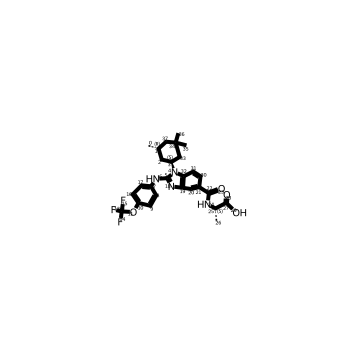 C[C@H]1C[C@H](n2c(Nc3ccc(OC(F)(F)F)cc3)nc3cc(C(=O)N[C@@H](C)C(=O)O)ccc32)CC(C)(C)C1